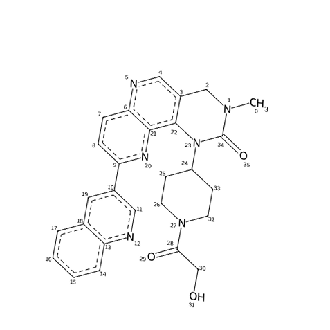 CN1Cc2cnc3ccc(-c4cnc5ccccc5c4)nc3c2N(C2CCN(C(=O)CO)CC2)C1=O